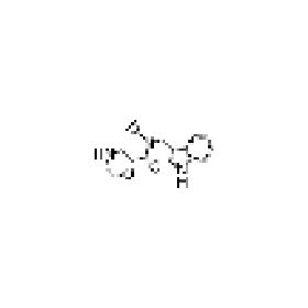 O=C(C1CNCCO1)N(Cc1c[nH]c2ccccc12)C1CC1